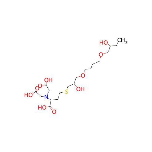 CCC(O)COCCCCOCC(O)CSCCC(C(=O)O)N(CC(=O)O)CC(=O)O